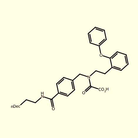 CCCCCCCCCCCCNC(=O)c1ccc(CN(CCc2ccccc2Oc2ccccc2)C(=O)C(=O)O)cc1